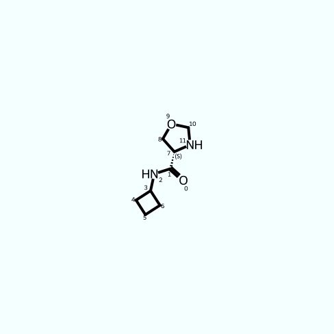 O=C(NC1CCC1)[C@@H]1COCN1